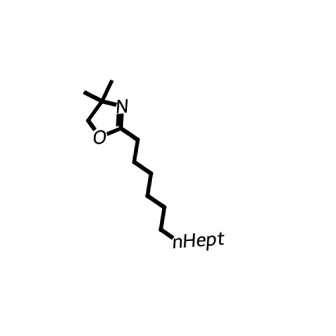 CCCCCCCCCCCCCC1=NC(C)(C)CO1